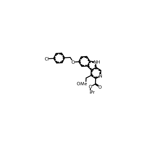 COCc1c(C(=O)OC(C)C)ncc2[nH]c3ccc(OCc4ccc(Cl)cc4)cc3c12